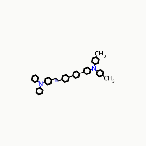 Cc1ccc(N(c2ccc(C)cc2)c2ccc(-c3ccc(-c4ccc(/C=C/c5ccc(N(c6ccccc6)c6ccccc6)cc5)cc4)cc3)cc2)cc1